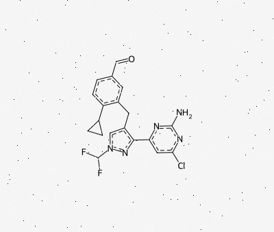 Nc1nc(Cl)cc(-c2nn(C(F)F)cc2Cc2cc(C=O)ccc2C2CC2)n1